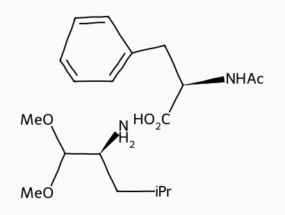 CC(=O)N[C@H](Cc1ccccc1)C(=O)O.COC(OC)[C@@H](N)CC(C)C